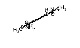 CSCC[C@H](N)C(=O)CCSCCCCCCCCCCSCCC(=O)[C@@H](N)CCSC